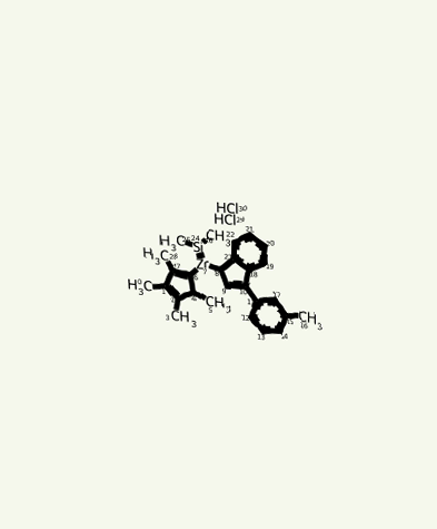 CC1=C(C)C(C)[C]([Zr]([CH]2C=C(c3cccc(C)c3)c3ccccc32)=[Si](C)C)=C1C.Cl.Cl